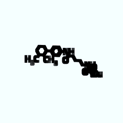 CC1CCCC(c2ccc(NC(=O)CCCCNS(=O)(=O)C(C)(C)C)cc2)C1C